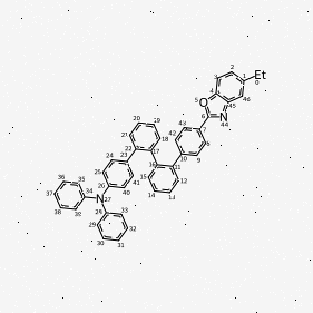 CCc1ccc2oc(-c3ccc(-c4ccccc4-c4ccccc4-c4ccc(N(c5ccccc5)c5ccccc5)cc4)cc3)nc2c1